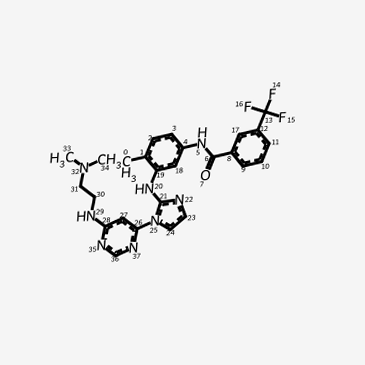 Cc1ccc(NC(=O)c2cccc(C(F)(F)F)c2)cc1Nc1nccn1-c1cc(NCCN(C)C)ncn1